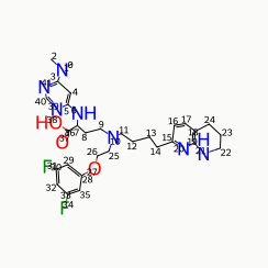 CN(C)c1cc(NC(CCN(CCCCc2ccc3c(n2)NCCC3)CCOc2cc(F)cc(F)c2)C(=O)O)ncn1